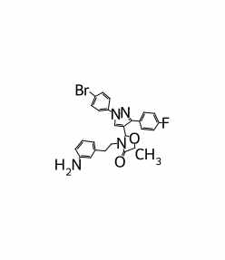 CC1OC(c2cn(-c3ccc(Br)cc3)nc2-c2ccc(F)cc2)N(CCc2cccc(N)c2)C1=O